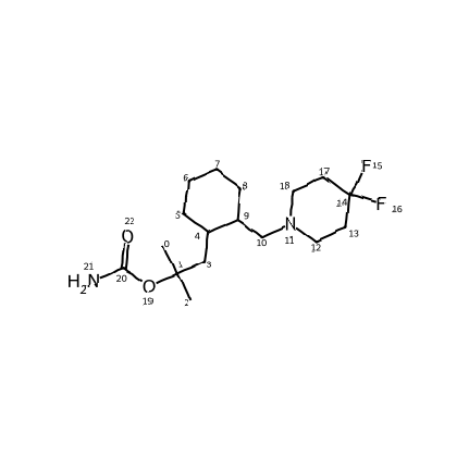 CC(C)(CC1CCCCC1CN1CCC(F)(F)CC1)OC(N)=O